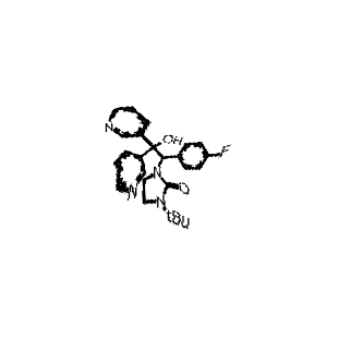 CC(C)(C)N1CCN(C(c2ccc(F)cc2)C(O)(c2cccnc2)c2cccnc2)C1=O